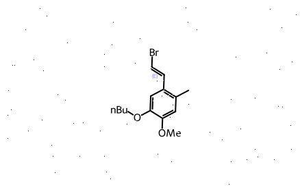 CCCCOc1cc(/C=C/Br)c(C)cc1OC